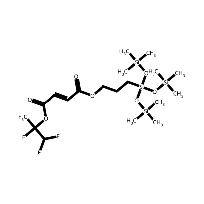 C[Si](C)(C)O[Si](CCCOC(=O)/C=C/C(=O)OC(F)(C(F)F)C(F)(F)F)(O[Si](C)(C)C)O[Si](C)(C)C